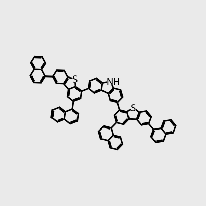 c1ccc2c(-c3ccc4sc5c(-c6ccc7[nH]c8ccc(-c9cc(-c%10cccc%11ccccc%10%11)cc%10c9sc9ccc(-c%11cccc%12ccccc%11%12)cc9%10)cc8c7c6)cc(-c6cccc7ccccc67)cc5c4c3)cccc2c1